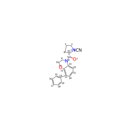 N#CN1CCC[C@H]1C(=O)N1CCOc2c(-c3ccccc3)cccc21